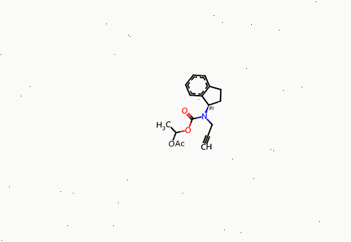 C#CCN(C(=O)OC(C)OC(C)=O)[C@@H]1CCc2ccccc21